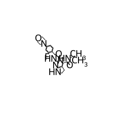 CC(C)NC(=O)c1nc(NC(=O)c2ccc(N3CCOCC3)cc2F)nc2c1CCN2